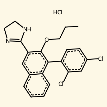 CCCOc1c(C2=NCCN2)cc2ccccc2c1-c1ccc(Cl)cc1Cl.Cl